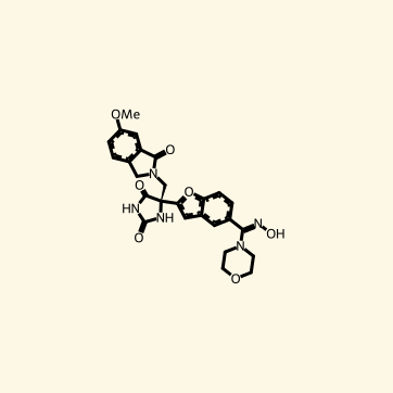 COc1ccc2c(c1)C(=O)N(C[C@@]1(c3cc4cc(C(=NO)N5CCOCC5)ccc4o3)NC(=O)NC1=O)C2